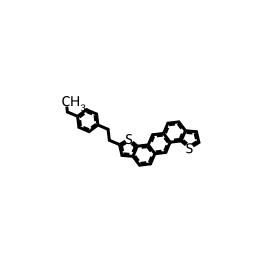 CCc1ccc(CCc2cc3ccc4cc5c(ccc6ccsc65)cc4c3s2)cc1